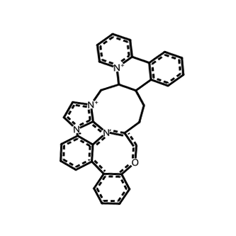 c1ccc2c(c1)-c1cccc[n+]1C1C[n+]3ccn4c5cccc6c7ccccc7occ(n(c65)c43)CCC21